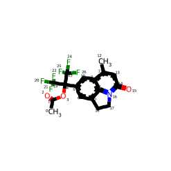 CC(=O)OC(c1cc2c3c(c1)c(C)cc(=O)n3CC2)(C(F)(F)F)C(F)(F)F